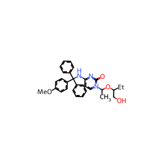 CCC(CO)OC(C)n1ccc(NC(c2ccccc2)(c2ccccc2)c2ccc(OC)cc2)nc1=O